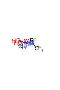 CC(C)(C)C(NC(=O)c1nn(CCCCC(F)(F)F)c2c(F)cccc12)C(=O)NCC(O)CO